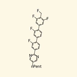 CCCCCc1cnc(-c2ccc(-c3ccc(-c4cc(F)c(CF)c(F)c4)c(F)c3)c(F)c2)nc1